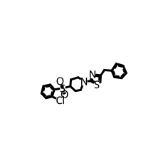 O=S(=O)(c1ccccc1Cl)C1CCN(c2nc(Cc3ccccc3)cs2)CC1